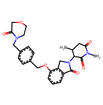 BC1CC(=O)N(B)C(=O)C1N1Cc2c(OCc3ccc(CN4CCOCC4=O)cc3)cccc2C1=O